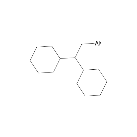 [Al][CH2]C(C1CCCCC1)C1CCCCC1